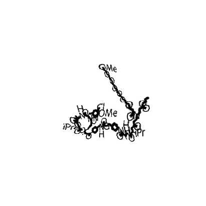 C=CCOC(=O)CCN(CCC(=O)C[C@H](C(=O)N[C@@H](C)C(=O)Nc1ccc(COC(=O)NCc2ccc([C@H]3O[C@@H]3[C@@H](C)[C@@H]3C/C=C/C(=O)N[C@H](Cc4ccc(OC)c(Cl)c4)C(=O)NCC(C)(C)C(=O)O[C@@H](CC(C)C)C(=O)O3)cc2)cc1)C(C)C)C(=O)CCOCCOCCOCCOCCOCCOCCOC